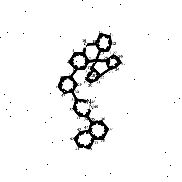 c1cc(-c2ccc3c(c2)C2(c4ccccc4S3)c3ccccc3-c3ccccc32)cc(-c2ccc(-c3cccc4ccccc34)nn2)c1